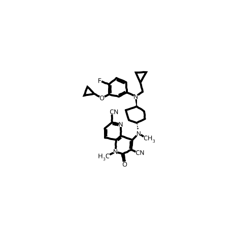 Cn1c(=O)c(C#N)c(N(C)[C@H]2CC[C@H](N(CC3CC3)c3ccc(F)c(OC4CC4)c3)CC2)c2nc(C#N)ccc21